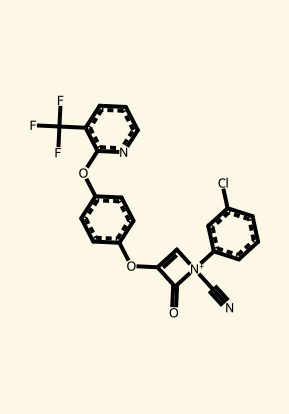 N#C[N+]1(c2cccc(Cl)c2)C=C(Oc2ccc(Oc3ncccc3C(F)(F)F)cc2)C1=O